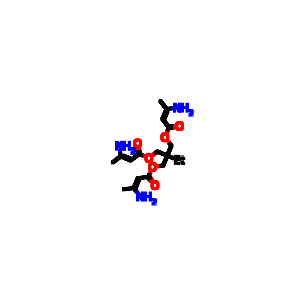 CCC(COC(=O)C=C(C)N)(COC(=O)C=C(C)N)COC(=O)C=C(C)N